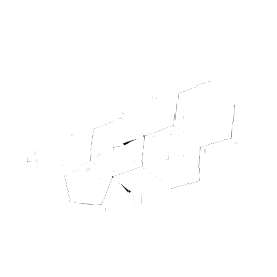 CC[C@H]1CC[C@H]2[C@@H]3CCC4CCCC[C@]4(C)[C@H]3CC[C@]12C.[C]